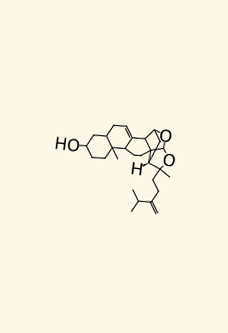 C=C(CCC1(C)OC2OC3C[C@H]1C21CCC2C(=CCC4CC(O)CCC42C)C31)C(C)C